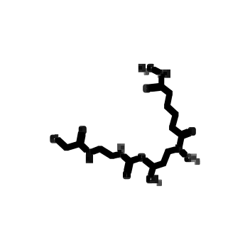 CNC(=O)CCCCC(=O)N(C)CCC(C)OC(=O)NCCNC(=O)CCl